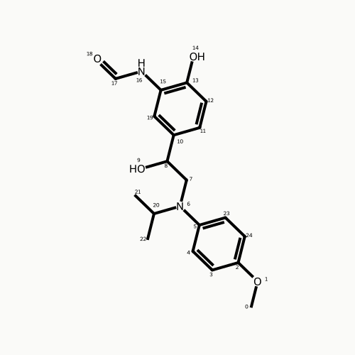 COc1ccc(N(CC(O)c2ccc(O)c(NC=O)c2)C(C)C)cc1